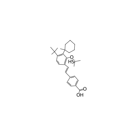 C[SiH](C)Oc1c(C=Cc2ccc(C(=O)O)cc2)ccc(C(C)(C)C)c1C1(C)CCCCC1